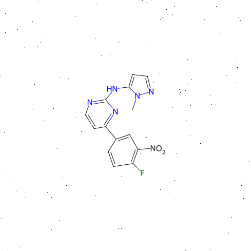 Cn1nccc1Nc1nccc(-c2ccc(F)c([N+](=O)[O-])c2)n1